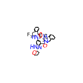 O=C(Nc1cc(C(=O)NCc2ccccc2C(F)(F)F)c2nc([C@@H]3CCCO3)[nH]c2c1)c1ccccc1C(F)(F)F